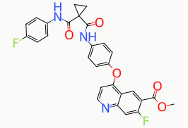 COC(=O)c1cc2c(Oc3ccc(NC(=O)C4(C(=O)Nc5ccc(F)cc5)CC4)cc3)ccnc2cc1F